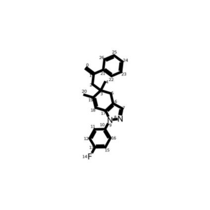 C=C(CC1(C)Cc2cnn(-c3ccc(F)cc3)c2C=C1C)c1ccccc1